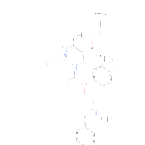 CC1=NC(C)=C(C(=O)OCC2CC2)C(c2ccccc2[N+](=O)[O-])N1C(=O)OCCN(C)Cc1ccccc1